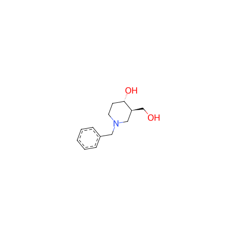 OC[C@H]1CN(Cc2ccccc2)CC[C@@H]1O